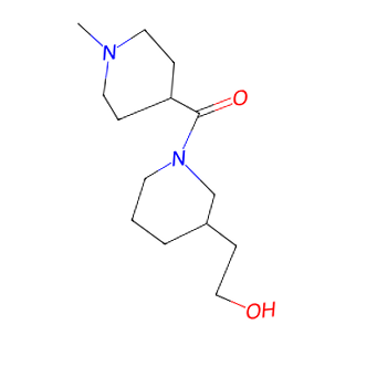 CN1CCC(C(=O)N2CCCC(CCO)C2)CC1